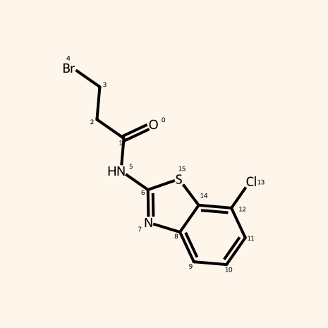 O=C(CCBr)Nc1nc2cccc(Cl)c2s1